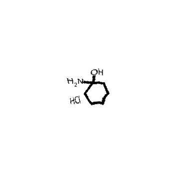 Cl.NC1(O)CCCCC1